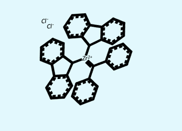 [Cl-].[Cl-].c1ccc([C](c2ccccc2)=[Zr+2]([CH]2c3ccccc3-c3ccccc32)[CH]2c3ccccc3-c3ccccc32)cc1